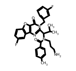 Cc1ccc(C(=O)N(CCCN)C(c2nc3c(oc4ccc(F)cc43)c(=O)n2Cc2cccc(F)c2)C(C)C)cc1